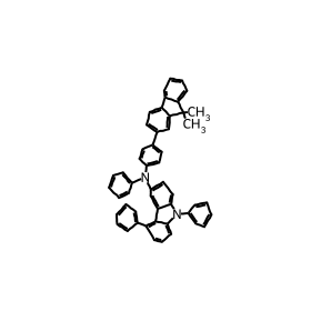 CC1(C)c2ccccc2-c2ccc(-c3ccc(N(c4ccccc4)c4ccc5c(c4)c4c(-c6ccccc6)cccc4n5-c4ccccc4)cc3)cc21